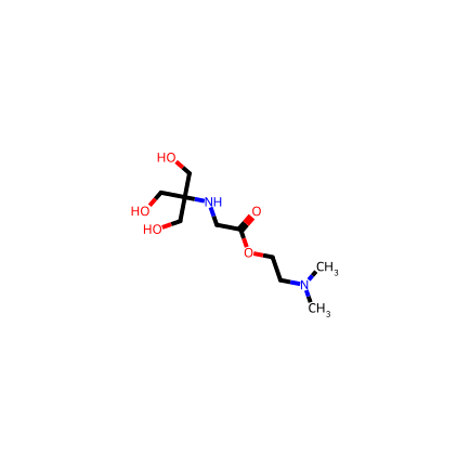 CN(C)CCOC(=O)CNC(CO)(CO)CO